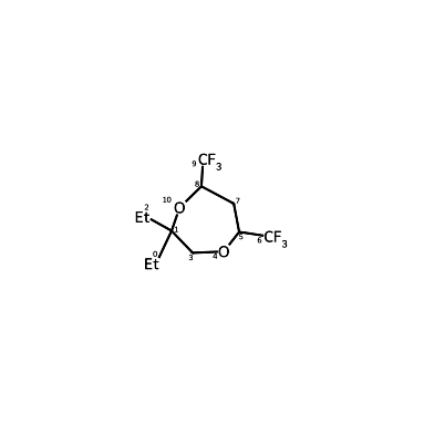 CCC1(CC)COC(C(F)(F)F)CC(C(F)(F)F)O1